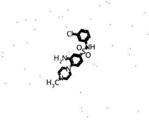 CN1CCN(c2ccc(S(=O)(=O)Nc3cccc(Cl)c3)cc2N)CC1